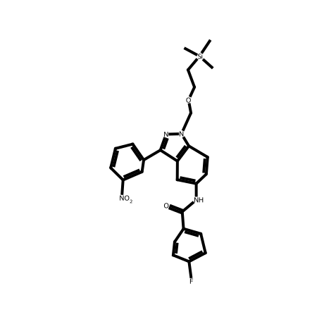 C[Si](C)(C)CCOCn1nc(-c2cccc([N+](=O)[O-])c2)c2cc(NC(=O)c3ccc(F)cc3)ccc21